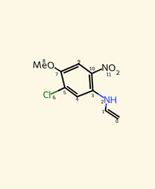 C=CNc1cc(Cl)c(OC)cc1[N+](=O)[O-]